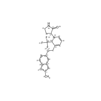 Cc1cc2cc(OCC3=CC=CN(C4CCNC4=O)C3C(F)(F)F)ccc2o1